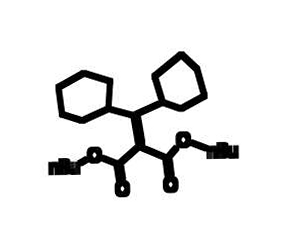 CCCCOC(=O)C(C(=O)OCCCC)=C(C1CCCCC1)C1CCCCC1